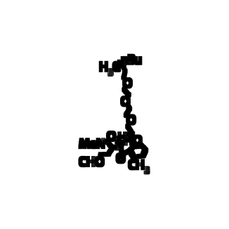 CCCCN(C)CCOCCOCCOCCNc1cccc(C)c1C(=O)N(C=O)C(CCC=O)C(=O)NC